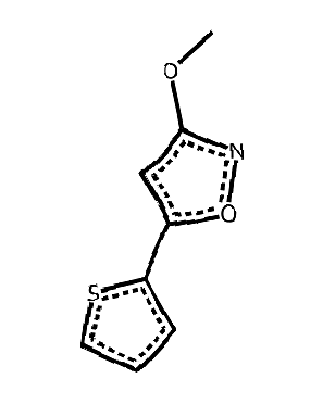 COc1cc(-c2cccs2)on1